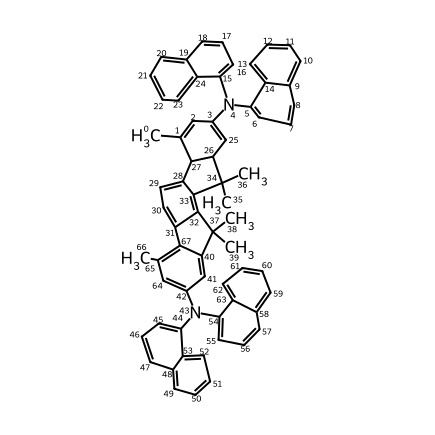 CC1=CC(N(c2cccc3ccccc23)c2cccc3ccccc23)=CC2C1c1ccc3c(c1C2(C)C)C(C)(C)c1cc(N(c2cccc4ccccc24)c2cccc4ccccc24)cc(C)c1-3